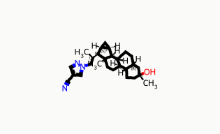 C[C@H](Cn1cc(C#N)cn1)[C@H]1[C@H]2C[C@H]2[C@H]2[C@@H]3CC[C@@H]4C[C@](C)(O)CC[C@@H]4[C@H]3CC[C@@]21C